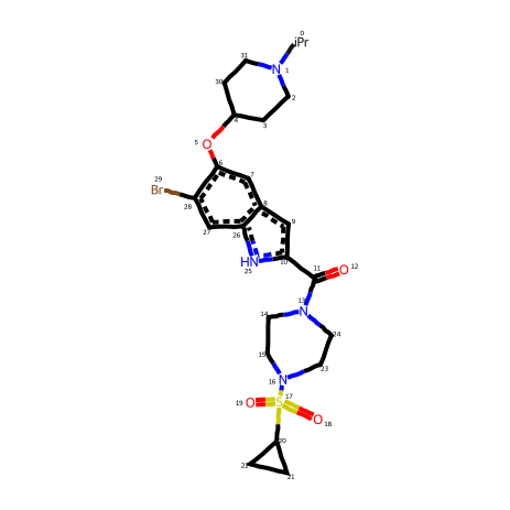 CC(C)N1CCC(Oc2cc3cc(C(=O)N4CCN(S(=O)(=O)C5CC5)CC4)[nH]c3cc2Br)CC1